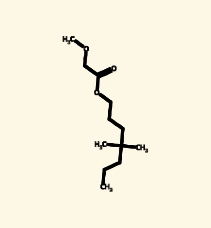 CCCC(C)(C)CCCOC(=O)COC